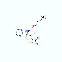 CCCCOC(=O)NC(CCC(C)=O)(SC)c1ccccn1